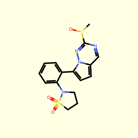 C[S+]([O-])c1ncc2ccc(-c3ccccc3N3CCCS3(=O)=O)n2n1